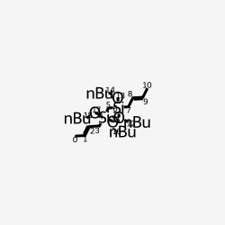 CC=CC[Si](C[Si](CC=CC)(OCCCC)OCCCC)(OCCCC)OCCCC